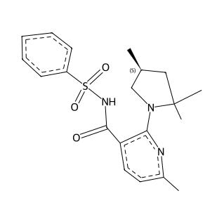 Cc1ccc(C(=O)NS(=O)(=O)c2ccccc2)c(N2C[C@@H](C)CC2(C)C)n1